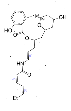 CC/C=C\C=C/C(=O)N/C=C/CC1CC2CC(O)C[C@H](Cc3cccc(O)c3C(=O)O1)O2